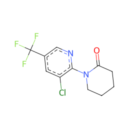 O=C1CCCCN1c1ncc(C(F)(F)F)cc1Cl